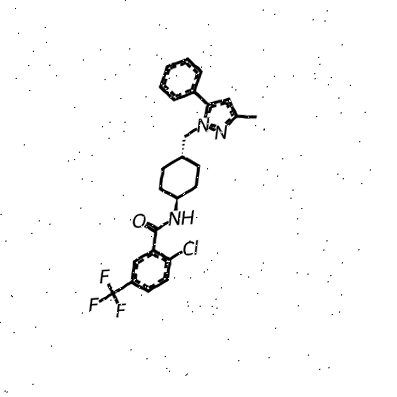 Cc1cc(-c2ccccc2)n(C[C@H]2CC[C@H](NC(=O)c3cc(C(F)(F)F)ccc3Cl)CC2)n1